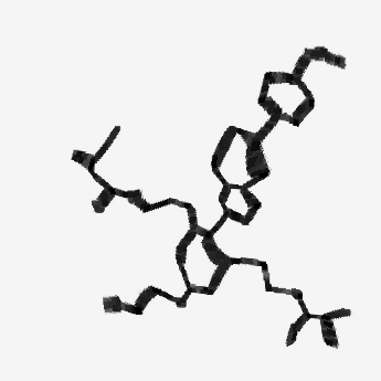 C=C(C)C(=O)OCCc1cc(OCCO)cc(CCOC(=O)C(=C)C)c1-c1ccc2cc(-c3ccc(CCCCC)cc3)ccc2c1